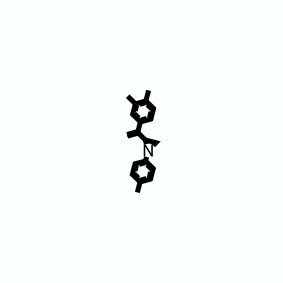 C=C(c1ccc(C)c(C)c1)C1CN1c1ccc(C)cc1